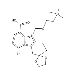 C[Si](C)(C)CCOCn1c2c(c3c(Br)ccc(C(=O)O)c31)CC1(CC2)OCCO1